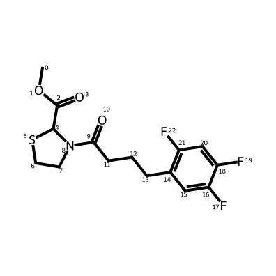 COC(=O)C1SCCN1C(=O)CCCc1cc(F)c(F)cc1F